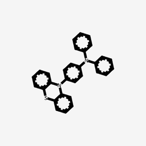 c1ccc(N(c2ccccc2)c2ccc(N3c4ccccc4Sc4ccccc43)cc2)cc1